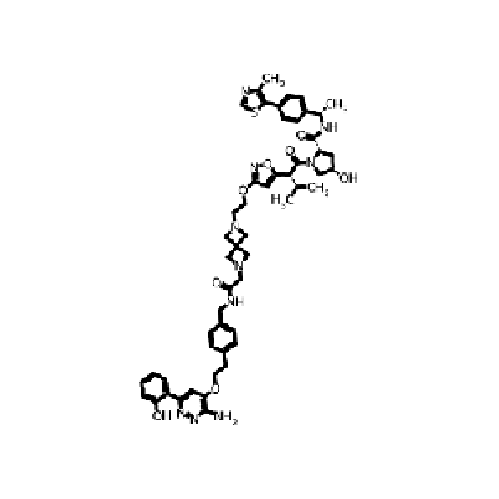 Cc1ncsc1-c1ccc([C@H](C)NC(=O)[C@@H]2C[C@@H](O)CN2C(=O)[C@@H](c2cc(OCCN3CC4(C3)CN(CC(=O)NCc3ccc(CCOc5cc(-c6ccccc6O)nnc5N)cc3)C4)no2)C(C)C)cc1